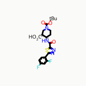 CC(C)(C)OC(=O)N1CC[C@H](NC(=O)c2nnc(-c3ccc(F)cc3F)s2)[C@@H](C(=O)O)C1